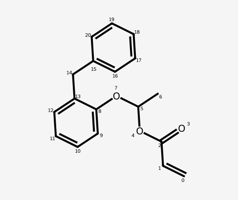 C=CC(=O)OC(C)Oc1ccccc1Cc1ccccc1